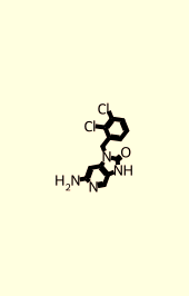 Nc1cc2c(cn1)[nH]c(=O)n2Cc1cccc(Cl)c1Cl